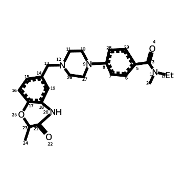 CCN(C)C(=O)c1ccc(N2CCN(Cc3ccc4c(c3)NC(=O)C(C)O4)CC2)cc1